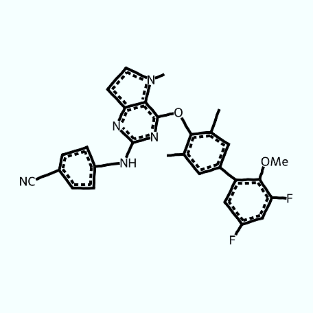 COc1c(F)cc(F)cc1-c1cc(C)c(Oc2nc(Nc3ccc(C#N)cc3)nc3ccn(C)c23)c(C)c1